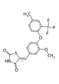 COc1cc(/C=C2\SC(=O)NC2=O)ccc1Oc1ccc(C)cc1C(F)(F)F